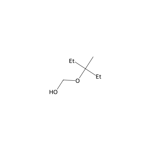 CCC(C)(CC)OCO